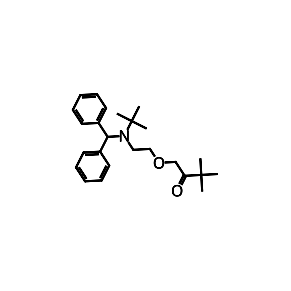 CC(C)(C)C(=O)COCCN(C(c1ccccc1)c1ccccc1)C(C)(C)C